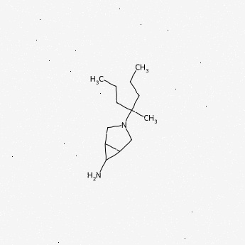 CCCC(C)(CCC)N1CC2C(N)C2C1